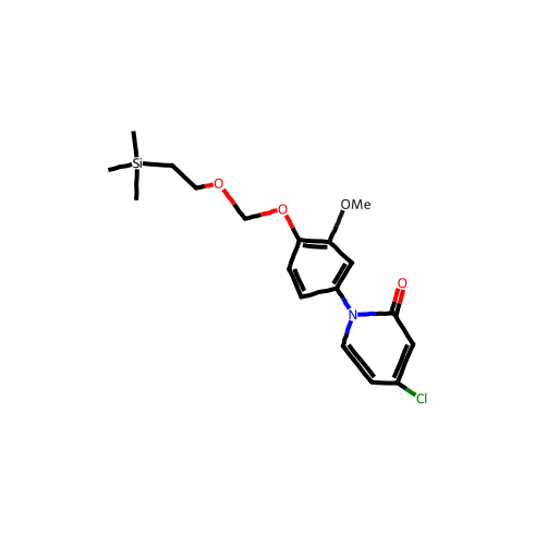 COc1cc(-n2ccc(Cl)cc2=O)ccc1OCOCC[Si](C)(C)C